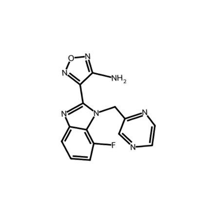 Nc1nonc1-c1nc2cccc(F)c2n1Cc1cnccn1